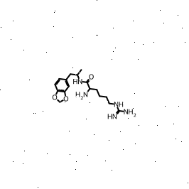 CC(Cc1ccc2c(c1)OCO2)NC(=O)C(N)CCCCNC(=N)N